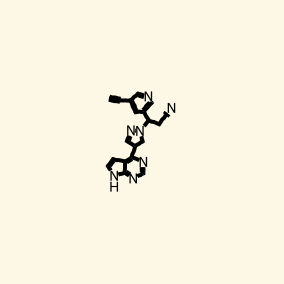 C#Cc1cncc(C(CC#N)N2CC(c3ncnc4[nH]ccc34)C=N2)c1